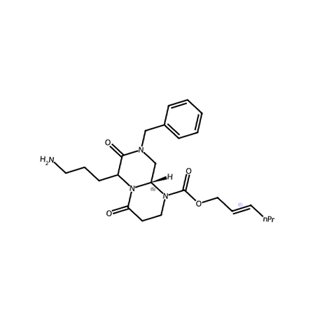 CCC/C=C/COC(=O)N1CCC(=O)N2C(CCCN)C(=O)N(Cc3ccccc3)C[C@H]12